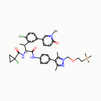 Cc1nn(COCCS(C)(C)C)c(C)c1-c1ccc(NC(=O)[C@@H](NC(=O)C2(F)CC2)C(C)c2cc(-c3ccc(=O)n(C(C)C)c3)ccc2Cl)cc1